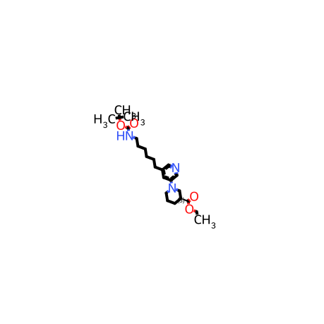 CCOC(=O)[C@H]1CCCN(c2cncc(CCCCCCNC(=O)OC(C)(C)C)c2)C1